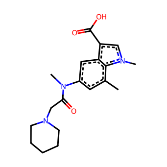 Cc1cc(N(C)C(=O)CN2CCCCC2)cc2c(C(=O)O)cn(C)c12